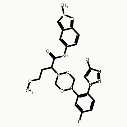 COCCC(C(=O)Nc1ccc2nn(C)cc2c1)N1CON(c2cc(Cl)ccc2-n2cc(Cl)nn2)CO1